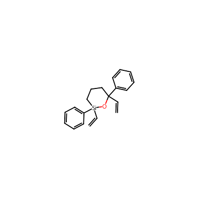 C=CC1(c2ccccc2)CCC[Si](C=C)(c2ccccc2)O1